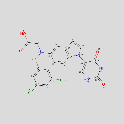 O=C(O)CN(Sc1cc(Cl)cc(Cl)c1)c1ccc2c(ccn2-c2c[nH]c(=O)[nH]c2=O)c1